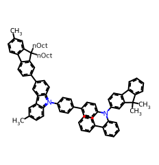 CCCCCCCCC1(CCCCCCCC)c2cc(C)ccc2-c2ccc(-c3ccc4c(c3)c3cc(C)ccc3n4-c3ccc(-c4ccc(N(c5ccc6c(c5)C(C)(C)c5ccccc5-6)c5ccccc5-c5ccccc5)cc4)cc3)cc21